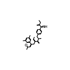 C=C(CC)C(=N)c1ccc(CC(C)C(=C)/C(=C\C)C/C(=C/C(C)=O)c2cc(C)cc(C)c2)cc1